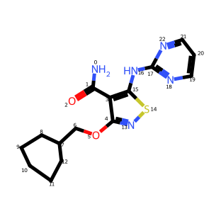 NC(=O)c1c(OCC2CCCCC2)nsc1Nc1ncccn1